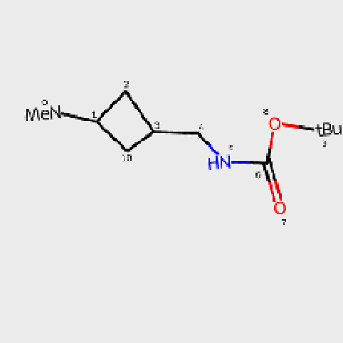 CNC1CC(CNC(=O)OC(C)(C)C)C1